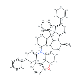 CC1C=CCC2C1C1C=CC(C3C=CCCC3)=CC1C21c2ccccc2C2C=CC(N(C3=CCC(c4ccccc4)CC3)C3=CC=CC4OC5=C(CCC=C5)C34)CC21